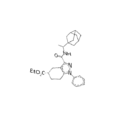 CCOC(=O)C1CCc2c(c(C(=O)NC(C)C34CC5CC(C3)C(C5)C4)nn2-c2ccccc2)C1